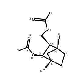 CC(=O)OC[C@H]1[C@@H]2CC[C@@H](C2)[C@H]1OC(C)=O